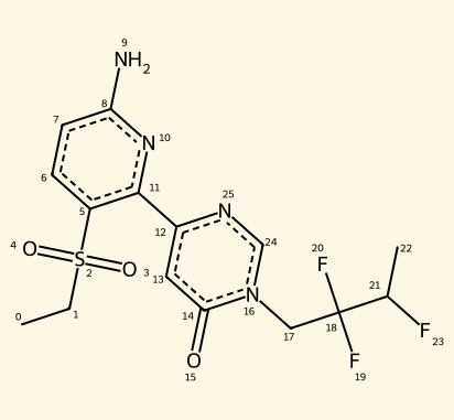 CCS(=O)(=O)c1ccc(N)nc1-c1cc(=O)n(CC(F)(F)C(C)F)cn1